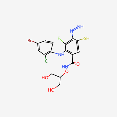 N=Nc1c(S)cc(C(=O)NOC(CO)CO)c(Nc2ccc(Br)cc2Cl)c1F